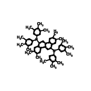 Cc1cc2c(N(c3cc(C)c(C)c(C)c3)c3cc(C)c(C)c(C)c3)cc3c4cc(C)c(C)cc4c(N(c4cc(C)c(C)c(C)c4)c4cc(C)c(C)c(C)c4)cc3c2cc1C